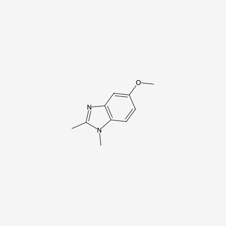 COc1ccc2c(c1)nc(C)n2C